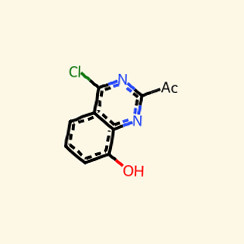 CC(=O)c1nc(Cl)c2cccc(O)c2n1